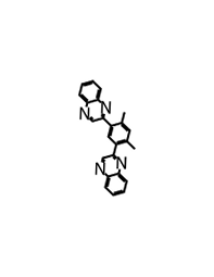 Cc1cc(C)c(-c2cnc3ccccc3n2)cc1-c1cnc2ccccc2n1